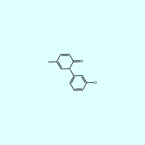 Cc1ccc(=O)n(-c2cccc(Cl)c2)c1